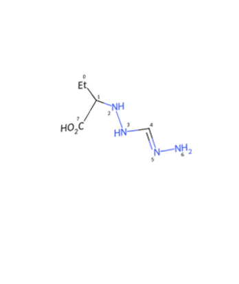 CCC(NNC=NN)C(=O)O